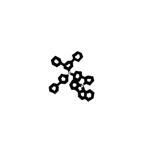 C1=CCC(c2cc(-c3ccccc3)cc(N(c3ccc(-c4ccccc4)cc3)c3ccc(-c4ccccc4-n4c5ccccc5c5ccc6ccccc6c54)cc3)c2)C=C1